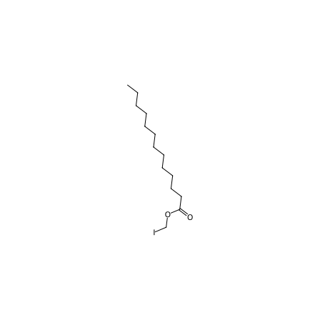 CCCCCCCCCCCCC(=O)OCI